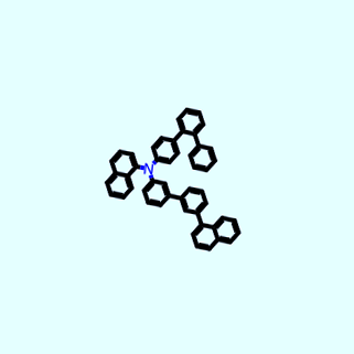 c1ccc(-c2ccccc2-c2ccc(N(c3cccc(-c4cccc(-c5cccc6ccccc56)c4)c3)c3cccc4ccccc34)cc2)cc1